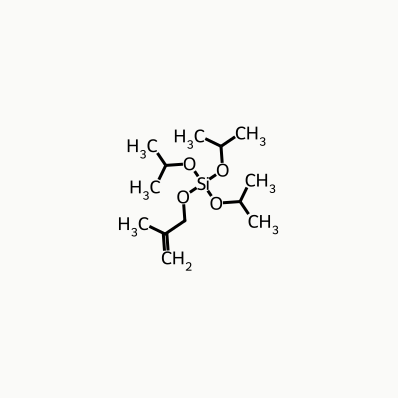 C=C(C)CO[Si](OC(C)C)(OC(C)C)OC(C)C